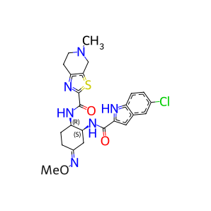 CON=C1CC[C@@H](NC(=O)c2nc3c(s2)CN(C)CC3)[C@@H](NC(=O)c2cc3cc(Cl)ccc3[nH]2)C1